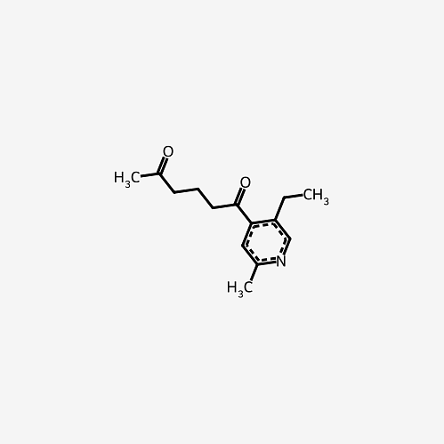 CCc1cnc(C)cc1C(=O)CCCC(C)=O